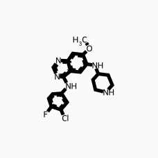 COc1cc2ncnc(Nc3ccc(F)c(Cl)c3)c2cc1NC1CCNCC1